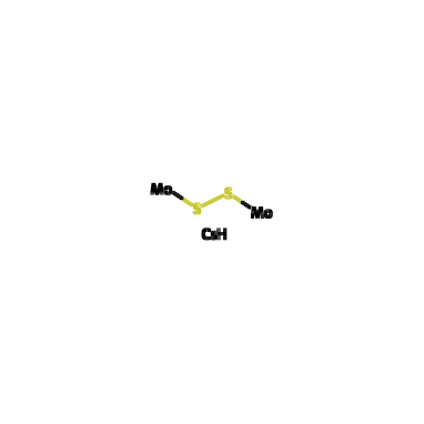 [CsH].[Mo][S][S][Mo]